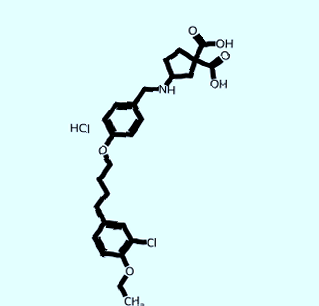 CCOc1ccc(CCCCOc2ccc(CNC3CCC(C(=O)O)(C(=O)O)C3)cc2)cc1Cl.Cl